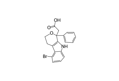 O=C(O)CC1(c2ccccc2)OCCc2c1[nH]c1cccc(Br)c21